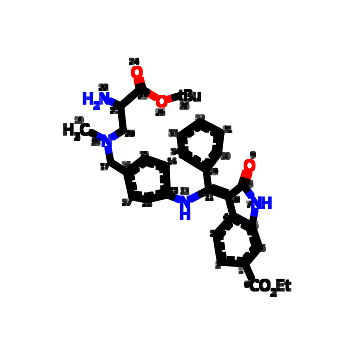 CCOC(=O)c1ccc2c(c1)NC(=O)C2=C(Nc1ccc(CN(C)CC(N)C(=O)OC(C)(C)C)cc1)c1ccccc1